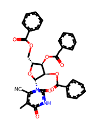 Cc1c(C#N)n([C@@H]2O[C@H](COC(=O)c3ccccc3)[C@@H](OC(=O)c3ccccc3)[C@H]2OC(=O)c2ccccc2)c(=O)[nH]c1=O